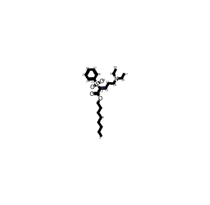 CCCCCCCCOC(=O)/C(=C/CCN(CC)CC)S(=O)(=O)c1ccccc1